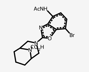 CC(=O)Nc1ccc(Br)c2oc(N3CC4CCCC(C3)N4C(=O)O)nc12